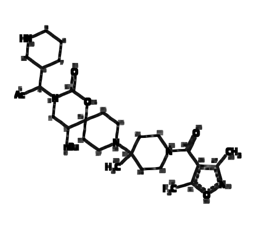 CCCCC1CN(C(C(C)=O)C2CCCNC2)C(=O)OC12CCN(C1(C)CCN(C(=O)c3c(C)noc3C(F)(F)F)CC1)CC2